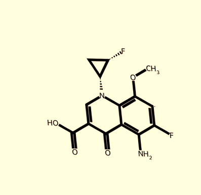 COc1[c]c(F)c(N)c2c(=O)c(C(=O)O)cn([C@@H]3C[C@@H]3F)c12